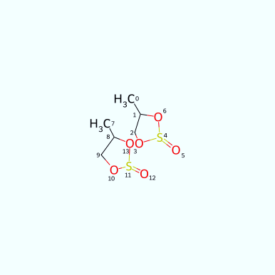 CC1COS(=O)O1.CC1COS(=O)O1